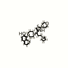 Oc1ccc2cccnc2c1N1CCCN(C(CCN2CCCC2)C2=CSC(N3CCOCC3)N2)CC1